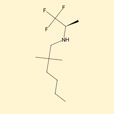 CCCCC(C)(C)CN[C@H](C)C(F)(F)F